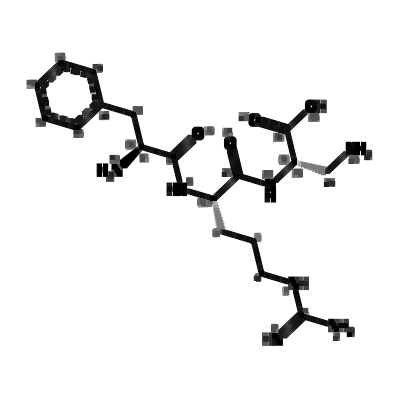 N=C(N)NCCC[C@H](NC(=O)[C@@H](N)Cc1ccccc1)C(=O)N[C@@H](CN)C(=O)O